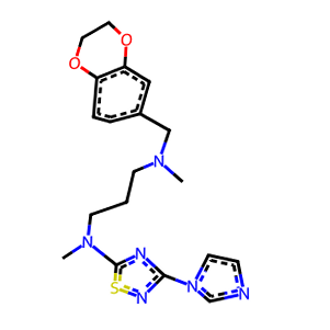 CN(CCCN(C)c1nc(-n2ccnc2)ns1)Cc1ccc2c(c1)OCCO2